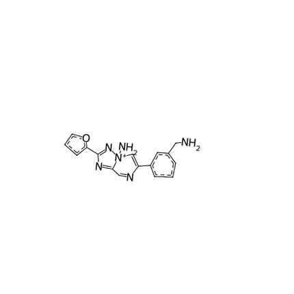 NCc1cccc(C2=C[N+]3(N)N=C(c4ccco4)N=C3C=N2)c1